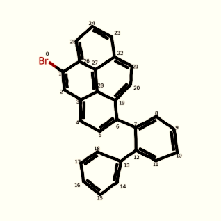 Brc1cc2ccc(-c3ccccc3-c3ccccc3)c3ccc4cccc1c4c23